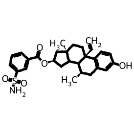 C=C[C@]12CC[C@]3(C)C[C@H](OC(=O)c4cccc(S(N)(=O)=O)c4)CC3C1[C@H](C)Cc1cc(O)ccc12